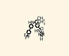 CC(C)CC(Nc1ccc(-c2ccc(C(F)(F)F)cc2)cc1)c1ccc(C(=O)Nc2nn[nH]n2)cn1